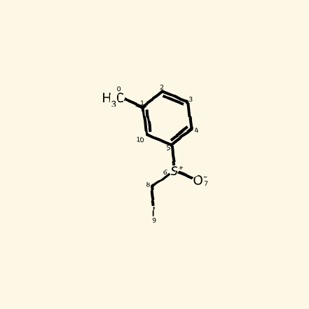 Cc1cccc([S+]([O-])CI)c1